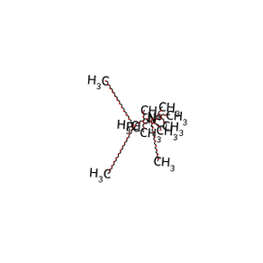 CCC#CC1=C(c2cc(CCCC)c(CCCC)c(CCCC)c2)[N+](=[N-])C(c2cc(CCCC)c(CCCC)c(CCCC)c2)=C1C=CCCCCCCCCCCCCCCC.CCCCCCCCCCCCCCCCCCCCCCC=[CH][Pd][CH]=CCCCCCCCCCCCCCCCCCCCCCC